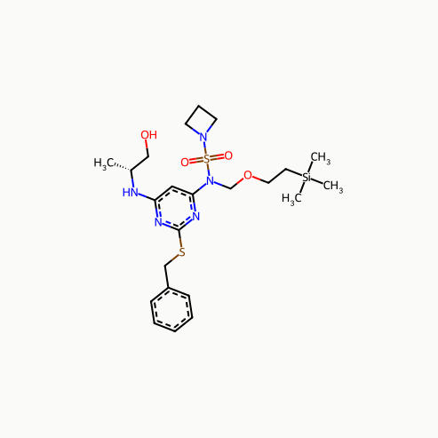 C[C@H](CO)Nc1cc(N(COCC[Si](C)(C)C)S(=O)(=O)N2CCC2)nc(SCc2ccccc2)n1